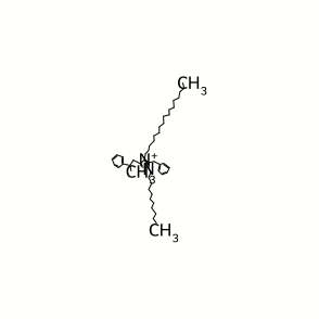 CCCCCCCCCCCCCCCCC[n+]1c(CC(C)c2ccccc2)cn(CCCCCCCCCCCC)c1Cc1ccccc1